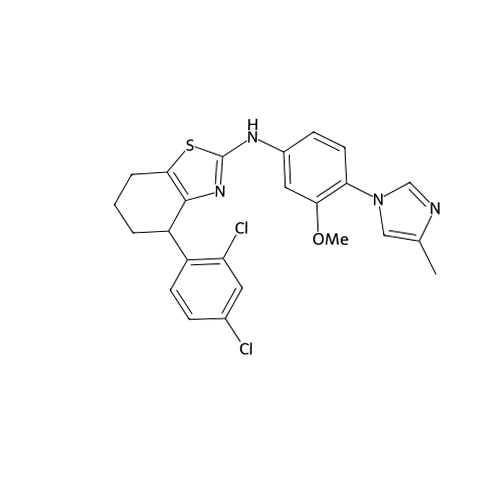 COc1cc(Nc2nc3c(s2)CCCC3c2ccc(Cl)cc2Cl)ccc1-n1cnc(C)c1